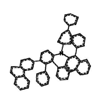 c1ccc(-c2ccc(N(c3ccc(-c4ccc5ccc6ccccc6c5c4)c(-c4ccccc4)c3-c3ccccc3)c3ccc4ccccc4c3-c3ccccc3)cc2)cc1